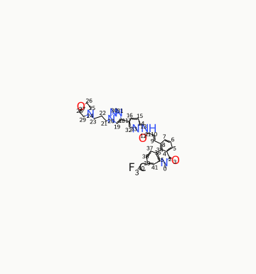 CN(C(=O)c1cccc(C=CC(=O)Nc2ccc(-c3cn(CCCN4CCOCC4)nn3)cn2)c1)c1cccc(C(F)(F)F)c1